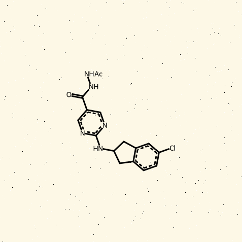 CC(=O)NNC(=O)c1cnc(NC2Cc3ccc(Cl)cc3C2)nc1